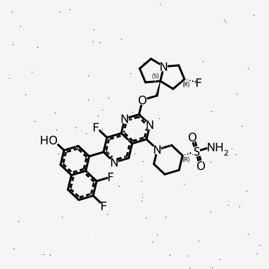 NS(=O)(=O)[C@@H]1CCCN(c2nc(OC[C@@]34CCCN3C[C@H](F)C4)nc3c(F)c(-c4cc(O)cc5ccc(F)c(F)c45)ncc23)C1